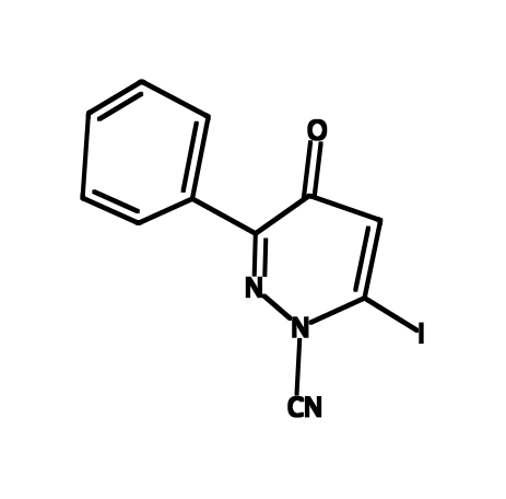 N#Cn1nc(-c2ccccc2)c(=O)cc1I